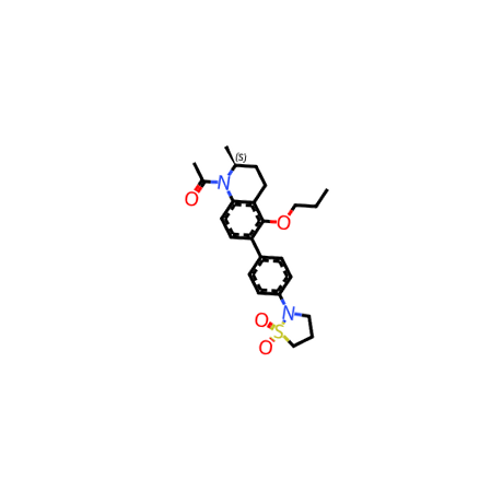 CCCOc1c(-c2ccc(N3CCCS3(=O)=O)cc2)ccc2c1CC[C@H](C)N2C(C)=O